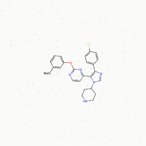 COc1cccc(Oc2nccc(-c3c(-c4ccc(F)cc4)ncn3C3CCNCC3)n2)c1